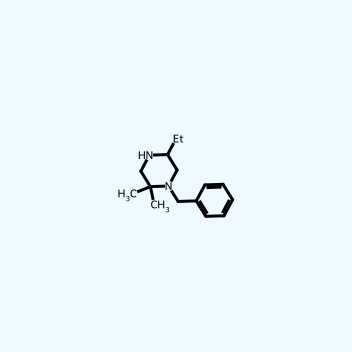 CCC1CN(Cc2ccccc2)C(C)(C)CN1